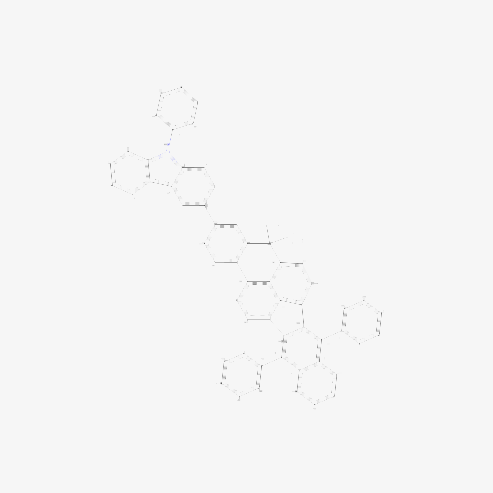 CC1(C)c2cc(-c3ccc4c(c3)c3ccccc3n4-c3ccccc3)ccc2-c2ccc3c4c(ccc1c24)-c1c-3c(-c2ccccc2)c2ccccc2c1-c1ccccc1